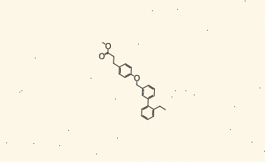 CCc1ccccc1-c1cccc(COc2ccc(CCC(=O)OC)cc2)c1